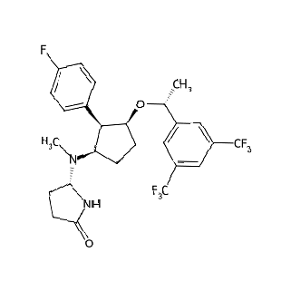 C[C@@H](O[C@H]1CC[C@@H](N(C)[C@H]2CCC(=O)N2)[C@H]1c1ccc(F)cc1)c1cc(C(F)(F)F)cc(C(F)(F)F)c1